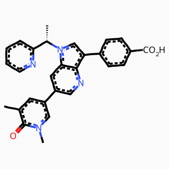 Cc1cc(-c2cnc3c(-c4ccc(C(=O)O)cc4)cn([C@@H](C)c4ccccn4)c3c2)cn(C)c1=O